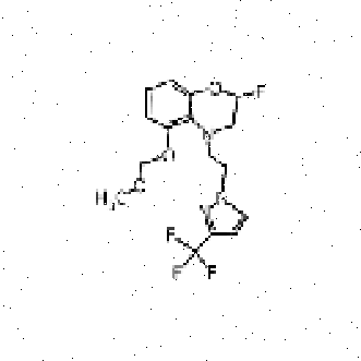 COCOc1cccc2c1N(CCn1ccc(C(F)(F)F)n1)CC(F)O2